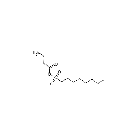 CCCCCCCCS(=O)(=O)OC(=O)CCN